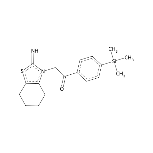 C[Si](C)(C)c1ccc(C(=O)Cn2c3c(sc2=N)CCCC3)cc1